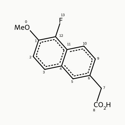 COc1ccc2cc(CC(=O)O)ccc2c1F